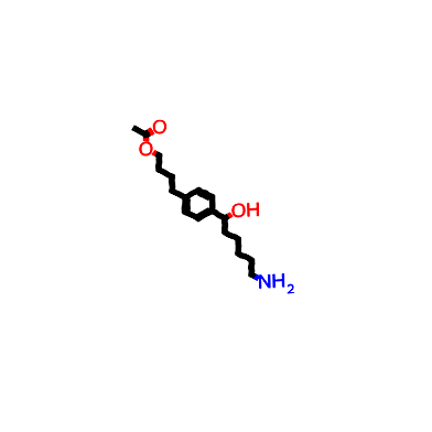 CC(=O)OCCCCc1ccc(C(O)CCCCCN)cc1